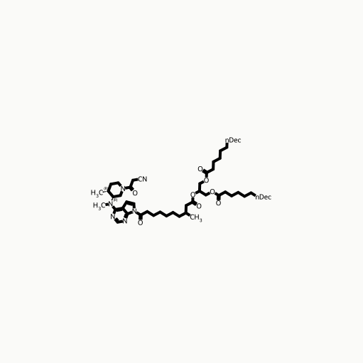 CCCCCCCCCCCCCCCC(=O)OCC(COC(=O)CCCCCCCCCCCCCCC)OC(=O)CC(C)CCCCCCC(=O)n1ccc2c(N(C)[C@H]3CN(C(=O)CC#N)CC[C@H]3C)ncnc21